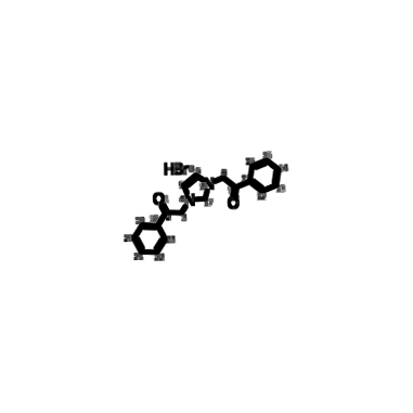 Br.O=C(CN1C=CN(CC(=O)c2ccccc2)C1)c1ccccc1